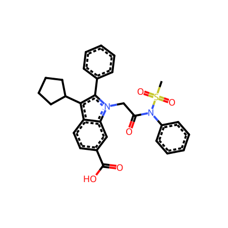 CS(=O)(=O)N(C(=O)Cn1c(-c2ccccc2)c(C2CCCC2)c2ccc(C(=O)O)cc21)c1ccccc1